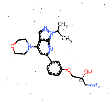 CC(C)n1ncc2c(N3CCOCC3)cc(-c3cccc(OC[C@H](O)CN)c3)nc21